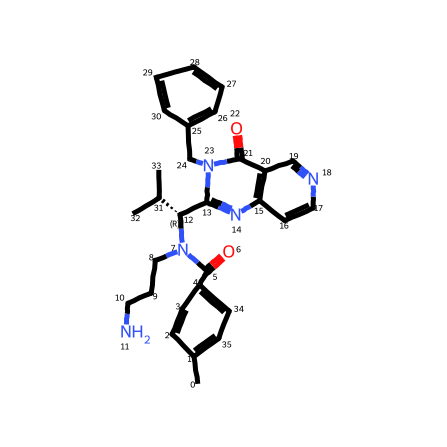 Cc1ccc(C(=O)N(CCCN)[C@@H](c2nc3ccncc3c(=O)n2Cc2ccccc2)C(C)C)cc1